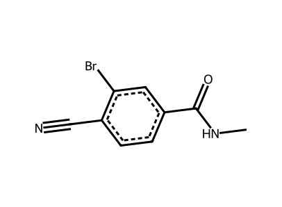 CNC(=O)c1ccc(C#N)c(Br)c1